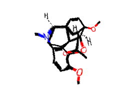 COc1ccc2c3c1O[C@H]1C4(OC)C=CC5(C[C@@H]4C(C)=O)[C@@H](C2)N(C)CC[C@]315